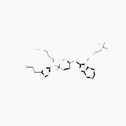 CCOC(=O)c1nc(N(CCCOC)C2(C)C=CC(/N=c3\sc4ccccc4n3COCC[Si](C)(C)C)=NN2)sc1CCCO